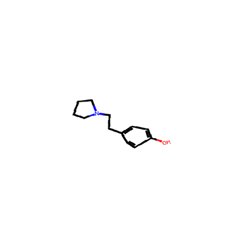 Oc1ccc(CCN2CCCC2)cc1